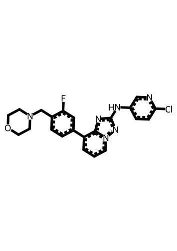 Fc1cc(-c2cccn3nc(Nc4ccc(Cl)nc4)nc23)ccc1CN1CCOCC1